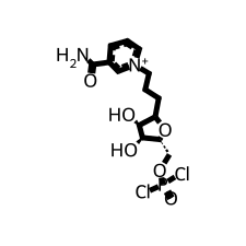 NC(=O)c1ccc[n+](CCCC2O[C@H](COP(=O)(Cl)Cl)[C@@H](O)[C@H]2O)c1